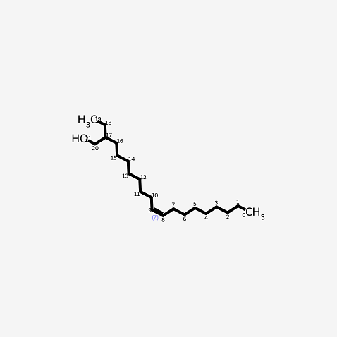 CCCCCCCC/C=C\CCCCCCCC(CC)CO